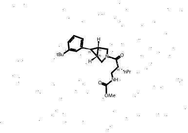 CCC[C@H](CNC(=O)OC)C(=O)N1C[C@@H]2[C@H](C1)[C@H]2c1cccc(C(C)(C)C)c1